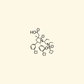 CC[C@@H](CN(CC)S(=O)(=O)C1CCC1)N1C(=O)[C@@](C)(CC(=O)O)CC(c2cccc(Cl)c2)[C@H]1c1ccc(Cl)cc1